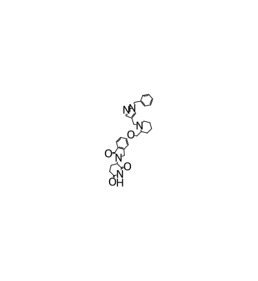 O=C1CCC(N2Cc3cc(OCC4CCCCN4Cc4cnn(Cc5ccccc5)c4)ccc3C2=O)C(=O)N1